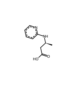 C[C@@H](CC(=O)O)Nc1ccccn1